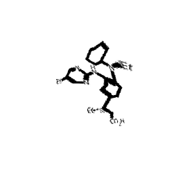 CCc1cnc(Nc2cc([C@@H](CC)CC(=O)O)ccc2N(CC)C2CCCCC2)nc1